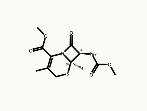 COC(=O)N[C@@H]1C(=O)N2C(C(=O)OC)=C(C)CS[C@H]12